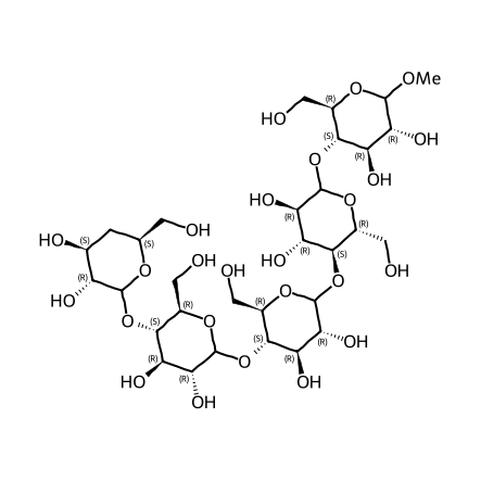 COC1O[C@H](CO)[C@@H](OC2O[C@H](CO)[C@@H](OC3O[C@H](CO)[C@@H](OC4O[C@H](CO)[C@@H](OC5O[C@H](CO)C[C@H](O)[C@H]5O)[C@H](O)[C@H]4O)[C@H](O)[C@H]3O)[C@H](O)[C@H]2O)[C@H](O)[C@H]1O